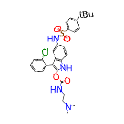 CN(C)CCNC(=O)Oc1[nH]c2ccc(NS(=O)(=O)c3ccc(C(C)(C)C)cc3)cc2c1-c1ccccc1Cl